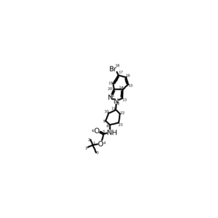 CC(C)(C)OC(=O)NC1CCC(n2cc3ccc(Br)cc3n2)CC1